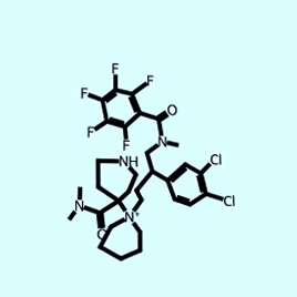 CN(C)C(=O)C1([N+]2(CCC(CN(C)C(=O)c3c(F)c(F)c(F)c(F)c3F)c3ccc(Cl)c(Cl)c3)CCCCC2)CCNCC1